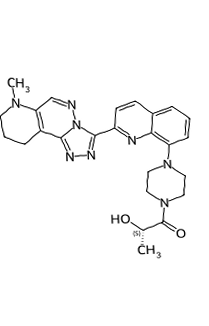 C[C@H](O)C(=O)N1CCN(c2cccc3ccc(-c4nnc5c6c(cnn45)N(C)CCC6)nc23)CC1